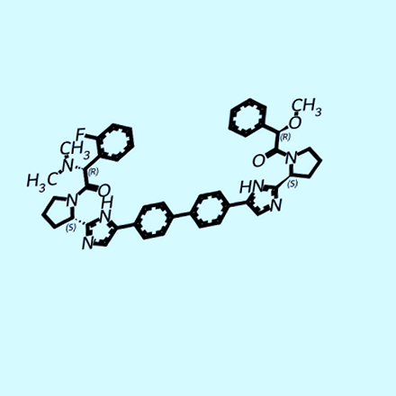 CO[C@@H](C(=O)N1CCC[C@H]1c1ncc(-c2ccc(-c3ccc(-c4cnc([C@@H]5CCCN5C(=O)[C@@H](c5ccccc5F)N(C)C)[nH]4)cc3)cc2)[nH]1)c1ccccc1